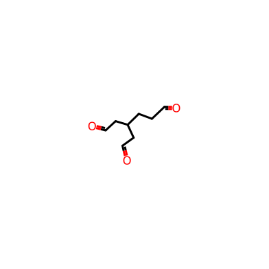 O=CCCC(CC=O)CC=O